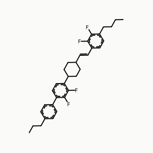 CCCCc1ccc(/C=C/C2CCC(c3ccc(-c4ccc(CCC)cc4)c(F)c3F)CC2)c(F)c1F